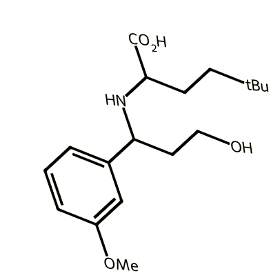 COc1cccc(C(CCO)NC(CCC(C)(C)C)C(=O)O)c1